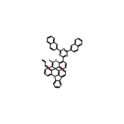 C=C/C=C\C1=C(C)Oc2c(-c3nc(-c4ccc5ccccc5c4)nc(-c4ccc5ccccc5c4)n3)cccc2C12c1ccccc1-n1c3ccccc3c3cccc2c31